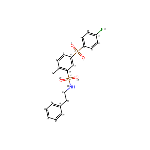 Cc1ccc(S(=O)(=O)c2ccc(F)cc2)cc1S(=O)(=O)NCCc1ccccc1